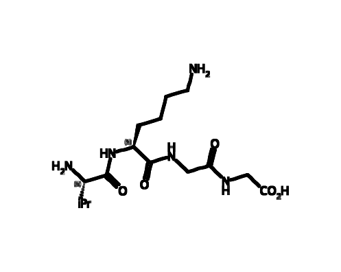 CC(C)[C@H](N)C(=O)N[C@@H](CCCCN)C(=O)NCC(=O)NCC(=O)O